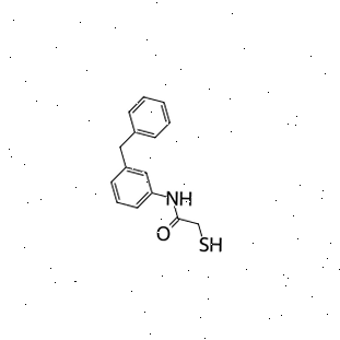 O=C(CS)Nc1cccc(Cc2ccccc2)c1